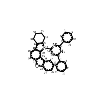 c1ccc(-c2nc(-c3ccccc3)nc(-n3c4c(c5ccc6oc7ccccc7c6c53)CCCC4)n2)cc1